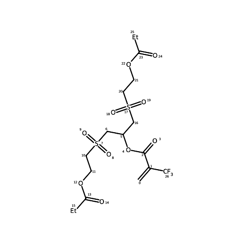 C=C(C(=O)OC(CS(=O)(=O)CCOC(=O)CC)CS(=O)(=O)CCOC(=O)CC)C(F)(F)F